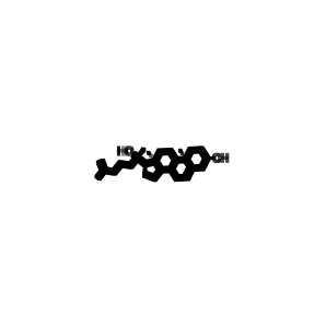 C=C(C)CCC[C@](C)(O)[C@@H]1CCC2C3CC=C4C[C@@H](O)CC[C@]4(C)C3CC[C@@]21C